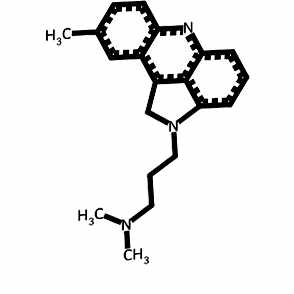 Cc1ccc2nc3cccc4c3c(c2c1)CN4CCCN(C)C